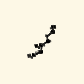 CCOCO[SiH2]O[SiH3]